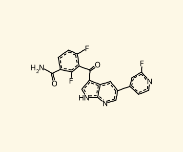 NC(=O)c1ccc(F)c(C(=O)c2c[nH]c3ncc(-c4ccnc(F)c4)cc23)c1F